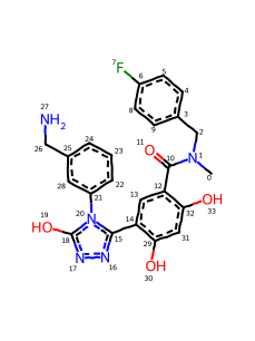 CN(Cc1ccc(F)cc1)C(=O)c1cc(-c2nnc(O)n2-c2cccc(CN)c2)c(O)cc1O